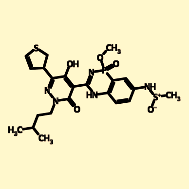 COP1(=O)N=C(c2c(O)c(C3C=CSC3)nn(CCC(C)C)c2=O)Nc2ccc(N[S+](C)[O-])cc21